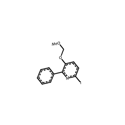 COCOc1ccc(I)nc1-c1ccccc1